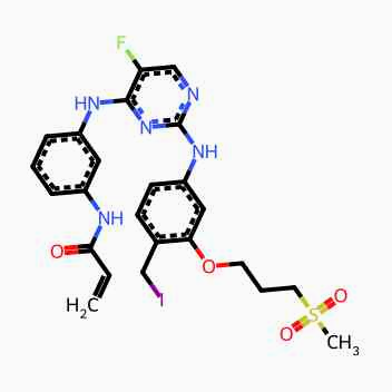 C=CC(=O)Nc1cccc(Nc2nc(Nc3ccc(CI)c(OCCCS(C)(=O)=O)c3)ncc2F)c1